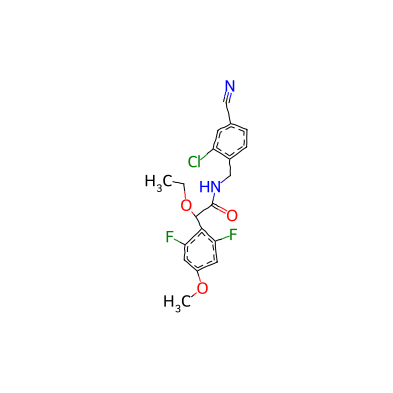 CCOC(C(=O)NCc1ccc(C#N)cc1Cl)c1c(F)cc(OC)cc1F